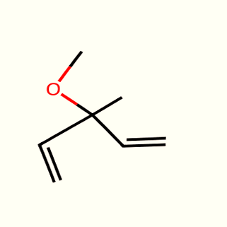 C=CC(C)(C=C)OC